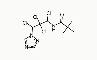 CC(C)(C)C(=O)NC(Cl)C(Cl)(Cl)C(Cl)n1cncn1